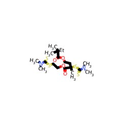 CCC(C)(C)C(=O)OCCC(C)(SC(=S)N(C)C)C(=O)OCCSC(=S)N(C)C